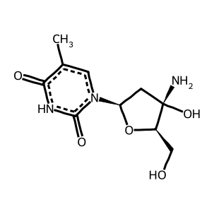 Cc1cn([C@H]2C[C@](N)(O)[C@@H](CO)O2)c(=O)[nH]c1=O